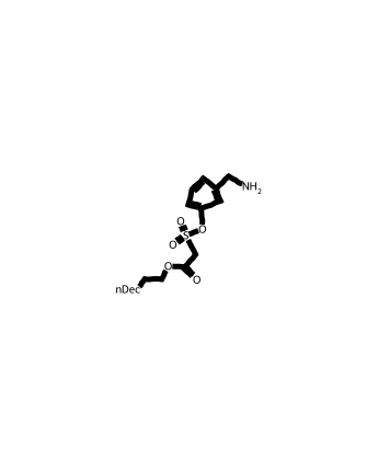 CCCCCCCCCCCCOC(=O)CS(=O)(=O)Oc1cccc(CN)c1